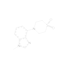 Cn1cnc2c(N3CCS(=O)(=O)CC3)cccc21